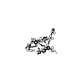 CCn1nc(C)cc1C(=O)Nc1nc2cc(C(N)=O)cc(OCCCc3c(C)nn(CC)c3C(=O)O)c2n1CC=CCn1c2nc(-c3cc(C)nn3CC)ncc2c2cc(C(N)=O)cc(OCCCNC(=O)OCCC(=O)OC(C)(C)C)c21